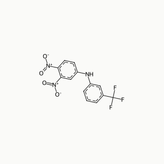 O=[N+]([O-])c1ccc(Nc2cccc(C(F)(F)F)c2)cc1[N+](=O)[O-]